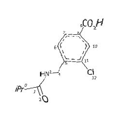 CC(C)C(=O)NCc1ccc(C(=O)O)cc1Cl